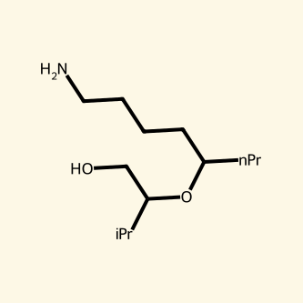 CCCC(CCCCN)OC(CO)C(C)C